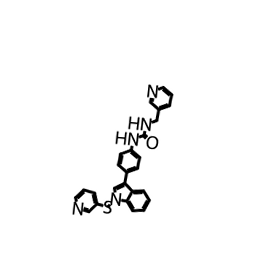 O=C(NCc1cccnc1)Nc1ccc(-c2cn(Sc3cccnc3)c3ccccc23)cc1